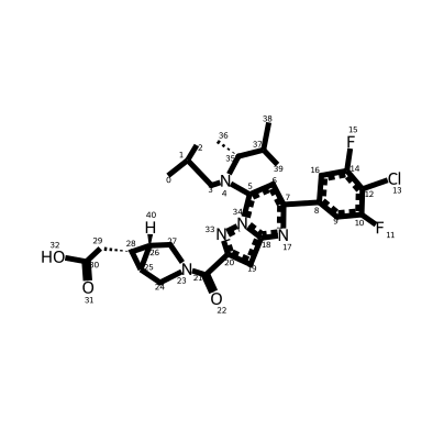 CC(C)CN(c1cc(-c2cc(F)c(Cl)c(F)c2)nc2cc(C(=O)N3CC4[C@@H](C3)[C@H]4CC(=O)O)nn12)[C@H](C)C(C)C